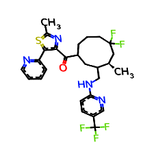 Cc1nc(C(=O)C2CCCC(F)(F)C[C@@H](C)C(CNc3ccc(C(F)(F)F)cn3)C2)c(-c2ccccn2)s1